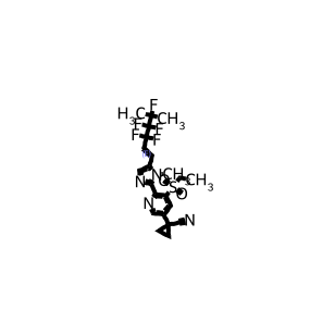 CCS(=O)(=O)c1cc(C2(C#N)CC2)cnc1-c1ncc(/C=C/C(F)(F)C(F)(F)C(C)(C)F)n1C